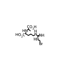 CC(NC(CCCNC(=N)NCBr)C(=O)O)C(=O)O